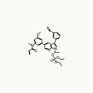 C=CC(=O)N(C)c1cc(OC)cc(-c2cnc3c(c2)c(-c2cccc(C#N)c2)cn3C(C)OP(=O)(OCC)OCC)c1